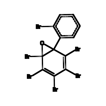 BrC1=C(Br)C2(Br)OC2(c2ccccc2Br)C(Br)=C1Br